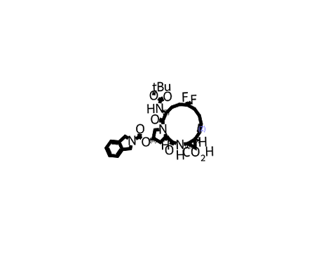 CC(C)(C)OC(=O)N[C@H]1CCC(F)(F)CC/C=C\[C@@H]2C[C@@]2(C(=O)O)NC(=O)[C@@H]2C[C@@H](OC(=O)N3Cc4ccccc4C3)CN2C1=O